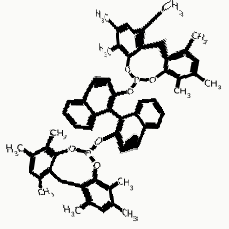 Cc1cc(C)c2c(c1C)OP(Oc1ccc3ccccc3c1-c1c(OP3Oc4c(C)c(C)cc(C)c4Cc4c(C)cc(C)c(C)c4O3)ccc3ccccc13)Oc1c(C)c(C)cc(C)c1C2